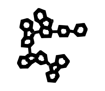 c1ccc(-c2ccc(-c3ccc(-n4c5ccccc5c5ccc(-n6c7ccccc7c7cc(-n8c9ccccc9c9ccccc98)ccc76)cc54)c4c3oc3ccccc34)cc2)cc1